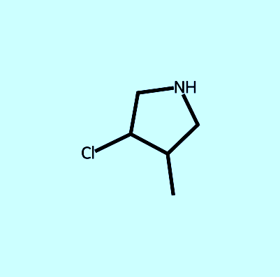 CC1CNCC1Cl